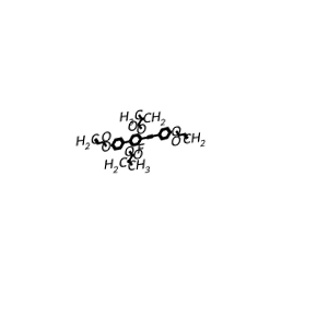 C=CC(=O)Oc1ccc(C#Cc2c(OC(=O)C(=C)C)cc(-c3ccc(OC(=O)C=C)cc3)c(OC(=O)C(=C)C)c2F)cc1